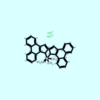 Cl.Cl.[CH3][Zr]([CH3])(=[GeH2])([CH]1C=Cc2c1c1ccccc1c1ccccc21)[CH]1C=Cc2c1c1ccccc1c1ccccc21